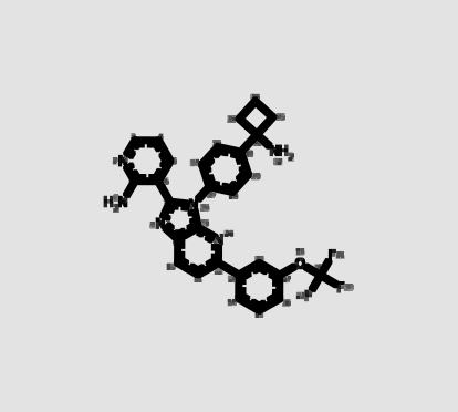 Nc1ncccc1-c1nc2ccc(-c3cccc(OC(F)(F)F)c3)nc2n1-c1ccc(C2(N)CCC2)cc1